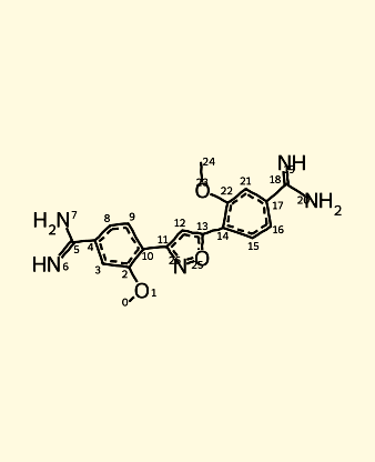 COc1cc(C(=N)N)ccc1-c1cc(-c2ccc(C(=N)N)cc2OC)on1